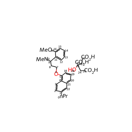 CCCc1ccc2c(OCCC(NC)c3ccccc3OC)cccc2c1.O=C(O)CC(O)(CC(=O)O)C(=O)O